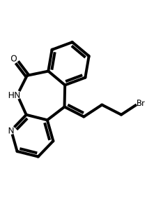 O=C1Nc2ncccc2/C(=C/CCBr)c2ccccc21